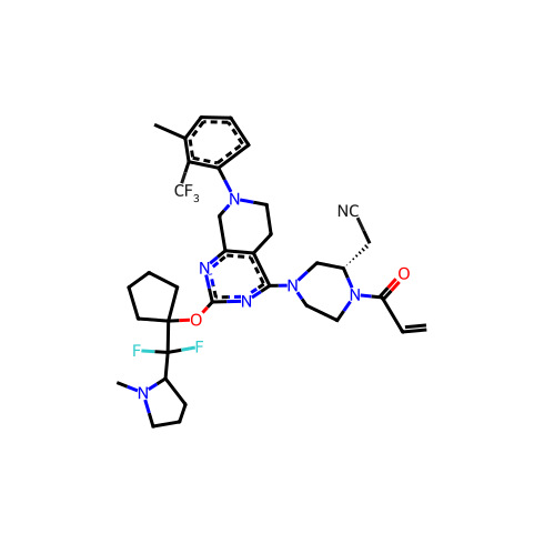 C=CC(=O)N1CCN(c2nc(OC3(C(F)(F)C4CCCN4C)CCCC3)nc3c2CCN(c2cccc(C)c2C(F)(F)F)C3)C[C@@H]1CC#N